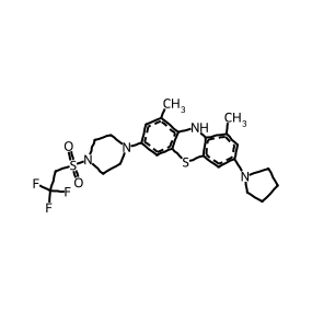 Cc1cc(N2CCCC2)cc2c1Nc1c(C)cc(N3CCN(S(=O)(=O)CC(F)(F)F)CC3)cc1S2